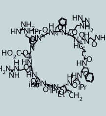 C=C[C@@H](CC)[C@@H]1NC(=O)[C@H](CC(C)C)NC(=O)C(Cc2ccccc2)NC(=O)CSC[C@@H](C(=O)NCC(N)=O)NC(=O)[C@H](CCCNC(=N)N)NC(=O)[C@H](Cc2ccccc2)NC(=O)[C@H](C(C)C)NC(=O)[C@H](CCCNC(=N)N)NC(=O)[C@H](CCC(=O)O)NC(=O)[C@H](CCCNC(=N)N)NC(=O)[C@H]([C@@H](C)CC)NC(=O)[C@H](C(C)C)NC1=O